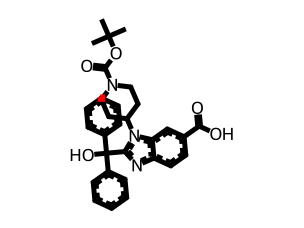 CC(C)(C)OC(=O)N1CCC(n2c(C(O)(c3ccccc3)c3ccccc3)nc3ccc(C(=O)O)cc32)CC1